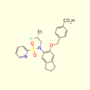 CC[C@@H](F)CN(c1cc2c(cc1OCc1ccc(C(=O)O)cc1)CCC2)S(=O)(=O)c1ccccn1